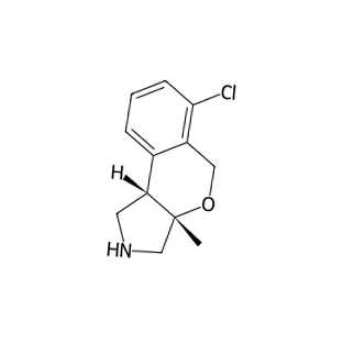 C[C@@]12CNC[C@@H]1c1cccc(Cl)c1CO2